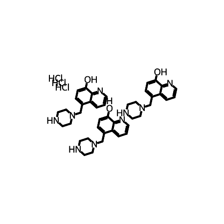 Cl.Cl.Cl.Oc1ccc(CN2CCNCC2)c2cccnc12.Oc1ccc(CN2CCNCC2)c2cccnc12.Oc1ccc(CN2CCNCC2)c2cccnc12